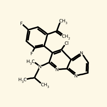 C=C(C)c1cc(F)cc(F)c1-c1c(N(C)C(C)C)nc2nccnc2c1Cl